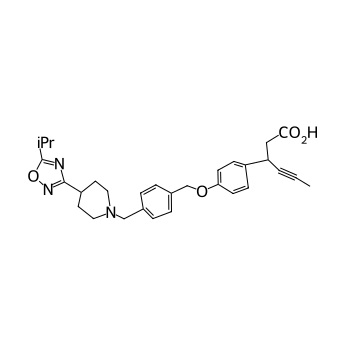 CC#CC(CC(=O)O)c1ccc(OCc2ccc(CN3CCC(c4noc(C(C)C)n4)CC3)cc2)cc1